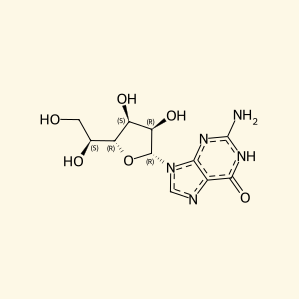 Nc1nc2c(ncn2[C@@H]2O[C@H]([C@@H](O)CO)[C@@H](O)[C@H]2O)c(=O)[nH]1